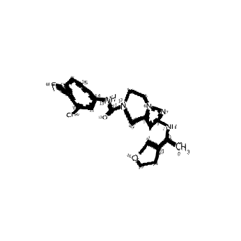 CC(Nc1cc2n(n1)CCN(C(=O)Nc1ccc(F)c(Cl)c1)C2)C1CCOC1